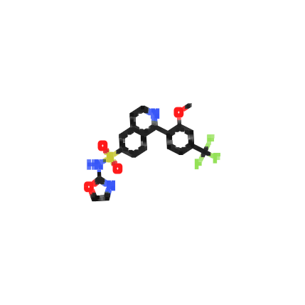 COc1cc(C(F)(F)F)ccc1-c1nccc2cc(S(=O)(=O)Nc3ncco3)ccc12